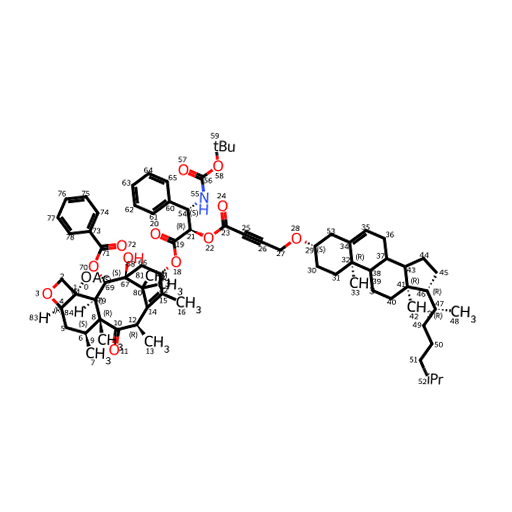 CC(=O)O[C@@]12CO[C@@H]1C[C@H](C)[C@@]1(C)C(=O)[C@H](C)C3=C(C)[C@@H](OC(=O)[C@H](OC(=O)C#CCO[C@H]4CC[C@@]5(C)C(=CCC6C5CC[C@@]5(C)C6CC[C@@H]5[C@H](C)CCCC(C)C)C4)[C@@H](NC(=O)OC(C)(C)C)c4ccccc4)C[C@@](O)([C@@H](OC(=O)c4ccccc4)[C@H]21)C3(C)C